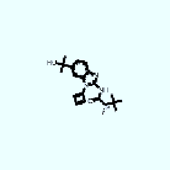 C[C@H](C(=O)Nc1nc2ccc(C(C)(C)O)cc2n1C1=CC=C1)C(C)(C)C